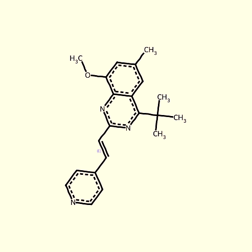 COc1cc(C)cc2c(C(C)(C)C)nc(/C=C/c3ccncc3)nc12